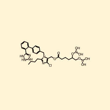 CCCCc1nc(Cl)c(COC(=O)CCCC(CON(O)O)ON(O)O)n1Cc1ccc(-c2ccccc2C2=NNNN2)cc1